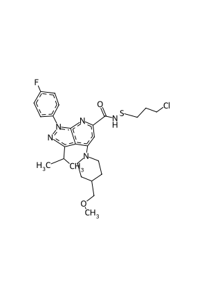 COCC1CCN(c2cc(C(=O)NSCCCCl)nc3c2c(C(C)C)nn3-c2ccc(F)cc2)CC1